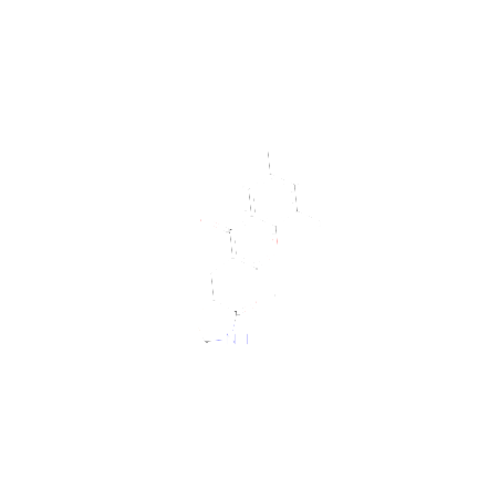 Cc1cc(C)c2occ(CC3SCNC3=O)c(=O)c2c1